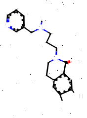 Cc1cc2c(cc1C)C(=O)N(CCCN(C)Cc1cccnc1)CC2